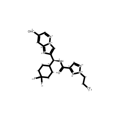 O=Cc1cnn2cc([C@@H](NC(=O)c3cnn(CCC(F)(F)F)n3)C3CCC(F)(F)CC3)nc2c1